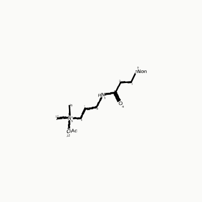 CCCCCCCCCCCC(=O)NCCC[N+](C)(C)OC(C)=O